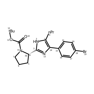 CCCc1[nH]c([C@@H]2CCCN2C(=O)OC(C)(C)C)nc1-c1ccc(Br)cc1